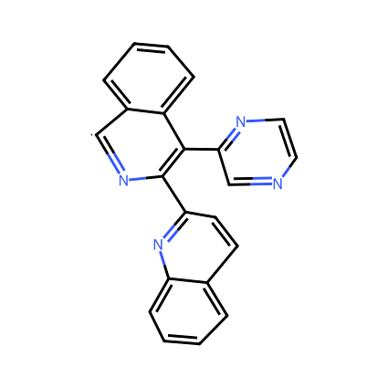 [c]1nc(-c2ccc3ccccc3n2)c(-c2cnccn2)c2ccccc12